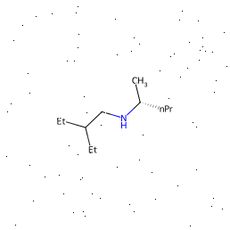 CCC[C@@H](C)NCC(CC)CC